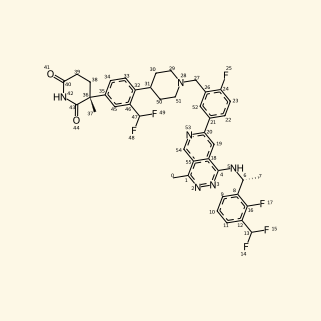 Cc1nnc(N[C@H](C)c2cccc(C(F)F)c2F)c2cc(-c3ccc(F)c(CN4CCC(c5ccc([C@@]6(C)CCC(=O)NC6=O)cc5C(F)F)CC4)c3)ncc12